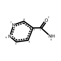 [NH]C(=O)c1ccnnc1